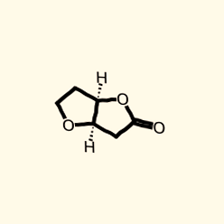 O=C1C[C@H]2OCC[C@H]2O1